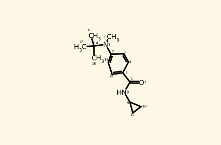 CN(c1ccc(C(=O)NC2CC2)cc1)C(C)(C)C